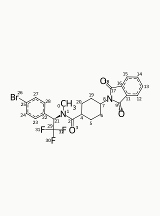 CN(C(=O)C1CCC(N2C(=O)c3ccccc3C2=O)CC1)[C@H](c1ccc(Br)cc1)C(F)(F)F